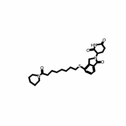 O=C1CCC(N2Cc3c(SCCCCCCCC(=O)N4CCCCC4)cccc3C2=O)C(=O)N1